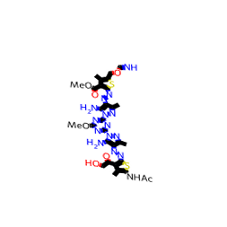 COC(=O)c1c(/N=N/c2c(C)nn(-c3nc(OC)nc(-n4nc(C)c(/N=N/c5sc(NC(C)=O)c(C)c5C(=O)CO)c4N)n3)c2N)sc(COC=N)c1C